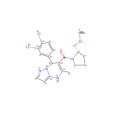 CCCCOC[C@@H]1CCCN1C(=O)C1=C(C)Nc2ccnn2C1c1ccc(Cl)c(Cl)c1